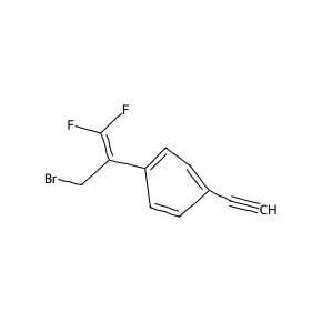 C#Cc1ccc(C(CBr)=C(F)F)cc1